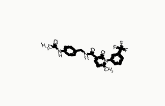 CC(=O)Nc1ccc(CNC(=O)c2ccc(C)n(-c3cccc(C(F)(F)F)c3)c2=O)cc1